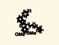 CCN1CCN(c2cccc3c2CN([C@H](CCCNCc2ccco2)c2ccc(OC)c(OC)c2)C3=O)CC1